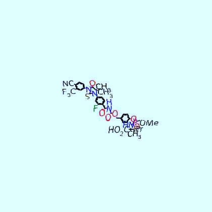 COCP(=O)(NC(C)(C(=O)O)C(C)C)Oc1ccc(COC(=O)NC(=O)c2ccc(N3C(=S)N(c4ccc(C#N)c(C(F)(F)F)c4)C(=O)C3(C)C)cc2F)cc1